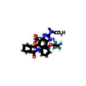 CN(C(=O)O)c1nc2cc(C3(OC(=O)C(F)(F)F)c4ccccc4C(=O)N3c3cccc(OC(F)(F)C(F)F)c3)ccc2[nH]1